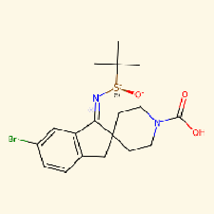 CC(C)(C)[S@@+]([O-])/N=C1/c2cc(Br)ccc2CC12CCN(C(=O)O)CC2